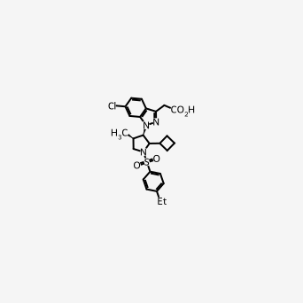 CCc1ccc(S(=O)(=O)N2C[C@@H](C)[C@@H](n3nc(CC(=O)O)c4ccc(Cl)cc43)C2C2CCC2)cc1